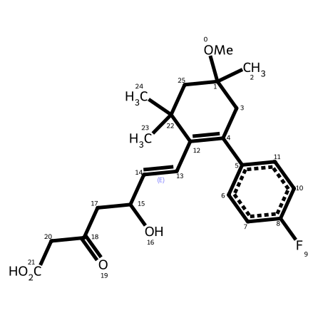 COC1(C)CC(c2ccc(F)cc2)=C(/C=C/C(O)CC(=O)CC(=O)O)C(C)(C)C1